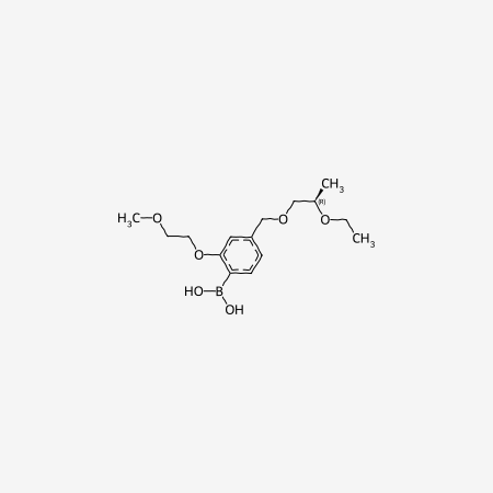 CCO[C@H](C)COCc1ccc(B(O)O)c(OCCOC)c1